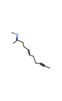 CC#CCC/C=C/CC/C(C)=N/C